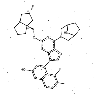 Oc1cc(-c2coc3c(N4CC5CCC(C4)N5)nc(OC[C@@]45CCCN4C[C@H](F)C5)cc23)c2c(F)c(F)ccc2c1